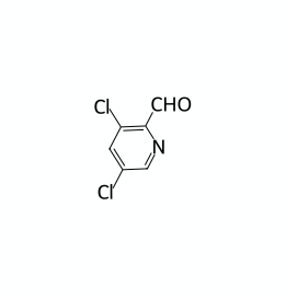 O=Cc1ncc(Cl)cc1Cl